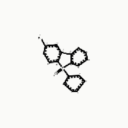 O=P1(c2ccccc2)c2ccccc2-c2cc(Br)ccc21